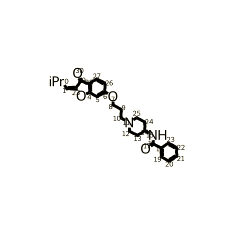 CC(C)C=C1Oc2cc(OCCCN3CCC(NC(=O)c4ccccc4)CC3)ccc2C1=O